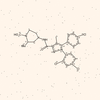 Cc1c(C(=O)NC2CCN(C(=O)O)C(C(C)(C)C)C2)nn(-c2ccc(Cl)cc2Cl)c1-c1ccc(Cl)cc1